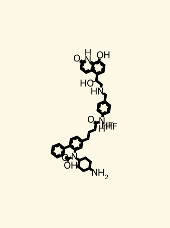 F.F.NC1CCC(N(C(=O)O)c2cc(CCCC(=O)Nc3ccc(CNC[C@H](O)c4ccc(O)c5[nH]c(=O)ccc45)cc3)ccc2-c2ccccc2)CC1